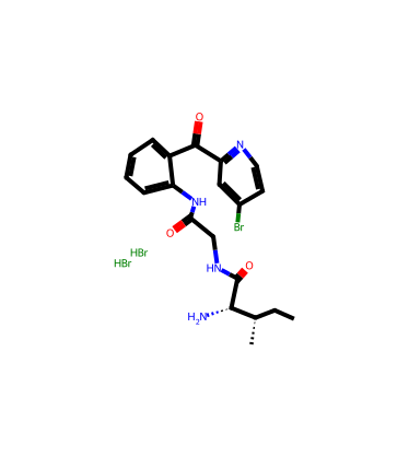 Br.Br.CC[C@H](C)[C@H](N)C(=O)NCC(=O)Nc1ccccc1C(=O)c1cc(Br)ccn1